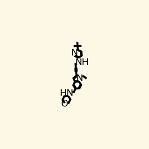 CCn1c(C#CCNc2ccc(C(C)(C)C)nc2)cc2cc(CNC3CCOCC3)ccc21